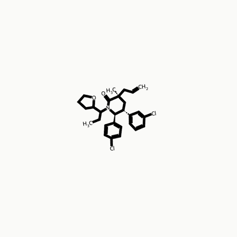 C=CC[C@@]1(C)C[C@H](c2cccc(Cl)c2)[C@@H](c2ccc(Cl)cc2)N(C(CC)C2CCCO2)C1=O